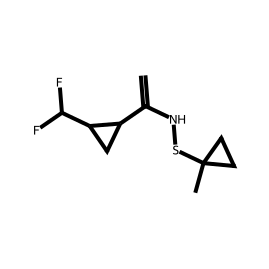 C=C(NSC1(C)CC1)C1CC1C(F)F